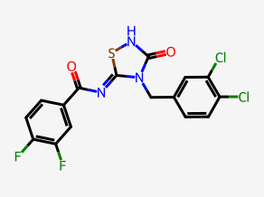 O=C(N=c1s[nH]c(=O)n1Cc1ccc(Cl)c(Cl)c1)c1ccc(F)c(F)c1